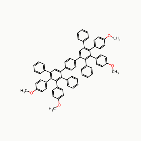 COc1ccc(-c2c(-c3ccccc3)cc(-c3ccc(-c4cc(-c5ccccc5)c(-c5ccc(OC)cc5)c(-c5ccc(OC)cc5)c4-c4ccccc4)cc3)c(-c3ccccc3)c2-c2ccc(OC)cc2)cc1